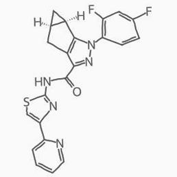 O=C(Nc1nc(-c2ccccn2)cs1)c1nn(-c2ccc(F)cc2F)c2c1C[C@H]1C[C@@H]21